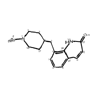 CCCCN1CCC(Cc2cccc3ccc(=O)[nH]c23)CC1